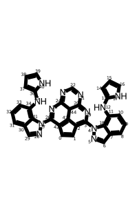 C1=CC2=C(n3ncc4cccc(Nc5ccc[nH]5)c43)N=C3N=CN=C4N=C(n5ncc6cccc(Nc7ccc[nH]7)c65)C1=C2C43